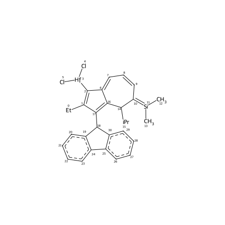 CCC1=[C]([Hf]([Cl])[Cl])C2=CC=CC(=[Si](C)C)C(C(C)C)C2=C1C1c2ccccc2-c2ccccc21